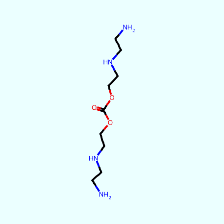 NCCNCCOC(=O)OCCNCCN